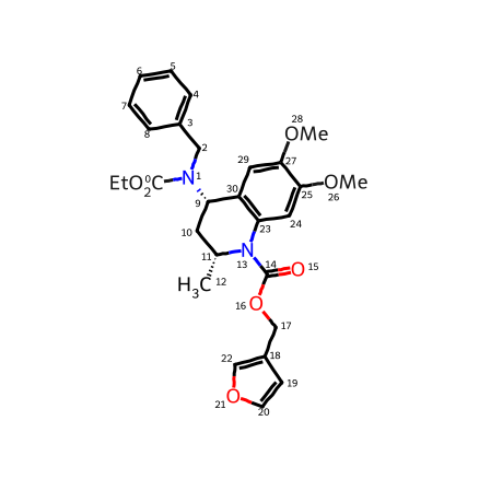 CCOC(=O)N(Cc1ccccc1)[C@H]1C[C@@H](C)N(C(=O)OCc2ccoc2)c2cc(OC)c(OC)cc21